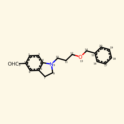 O=Cc1ccc2c(c1)CCN2CCCOCc1ccccc1